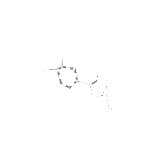 Cc1cc(C2=NCN(N)S2)ccc1Br